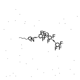 CCCCCc1ccc(C#Cc2cc(F)c(C(F)(F)Oc3cc(F)c(C#Cc4cc(F)c(F)c(F)c4)c(F)c3)c(F)c2)nc1